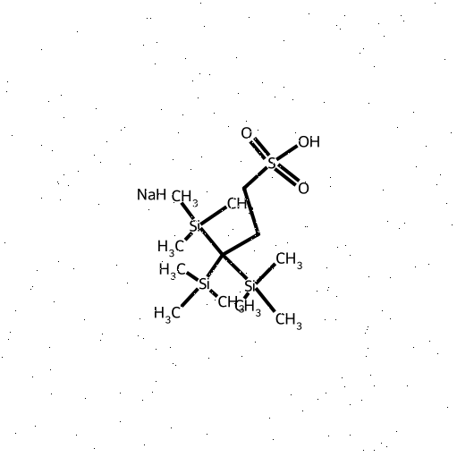 C[Si](C)(C)C(CCS(=O)(=O)O)([Si](C)(C)C)[Si](C)(C)C.[NaH]